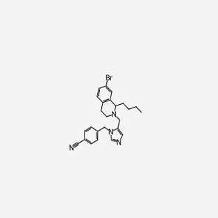 CCCCC1c2cc(Br)ccc2CCN1Cc1cncn1Cc1ccc(C#N)cc1